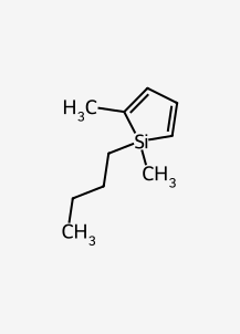 CCCC[Si]1(C)C=CC=C1C